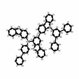 c1ccc(-c2ccc(N(c3ccc4oc5ccccc5c4c3)c3cc(-c4ccc5c6ccccc6n(-c6cc(-c7ccccc7)cc(-c7ccccc7)c6)c5c4)cc4c3sc3ccccc34)cc2)cc1